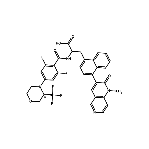 Cn1c(=O)c(-c2ccc(CC(NC(=O)c3c(F)cc(N4CCOC[C@@H]4C(F)(F)F)cc3F)C(=O)O)c3ccccc23)cc2cnccc21